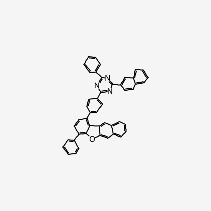 c1ccc(-c2nc(-c3ccc(-c4ccc(-c5ccccc5)c5oc6cc7ccccc7cc6c45)cc3)nc(-c3ccc4ccccc4c3)n2)cc1